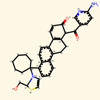 Nc1ccc(C(=O)C2C(=O)C=CC3=C2CCc2c3ccc3c(C4(N5C=CSC5C[O])CCCCCC4)cccc23)cn1